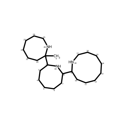 CC1(C2CCCCCC(C3CCCCCCCCN3)N2)CCCCCCN1